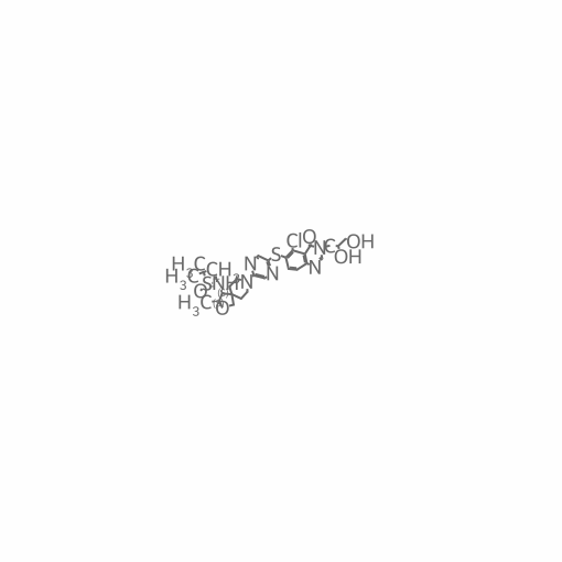 C[C@@H]1OCC2(CCN(c3cnc(Sc4ccc5ncn(CC(O)CO)c(=O)c5c4Cl)cn3)CC2)[C@@H]1N[S+]([O-])C(C)(C)C